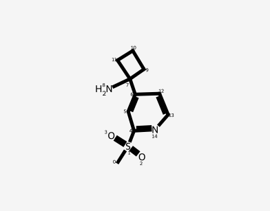 CS(=O)(=O)c1cc(C2(N)CCC2)ccn1